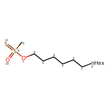 CCCCCCCCCCCCOS(C)(=O)=S